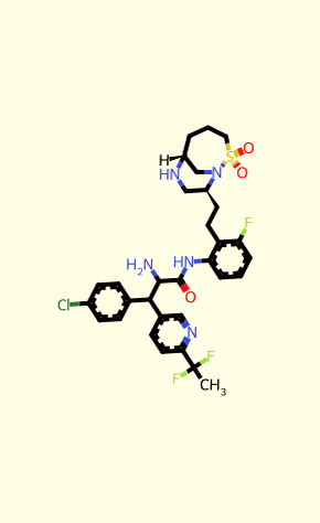 CC(F)(F)c1ccc(C(c2ccc(Cl)cc2)C(N)C(=O)Nc2cccc(F)c2CC[C@H]2CN[C@@H]3CCCS(=O)(=O)N2C3)cn1